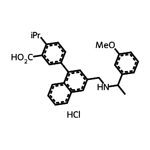 COc1cccc(C(C)NCc2cc(-c3ccc(C(C)C)c(C(=O)O)c3)c3ccccc3c2)c1.Cl